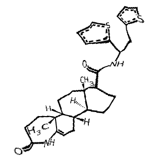 C[C@]12CCC(=O)NC1=CC[C@@H]1[C@H]2CC[C@]2(C)C(C(=O)NC(Cc3cccs3)c3cccs3)CC[C@@H]12